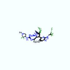 CNc1nc(N[C@@H]2CCN(C(C)=O)CC2(F)F)nn2cc(F)c(-c3ccc4nnn(CC(F)F)c4n3)c12